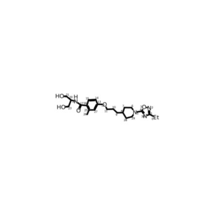 CCc1noc(N2CCC(CCCOc3ccc(C(=O)NC(CO)CO)c(C)c3)CC2)n1